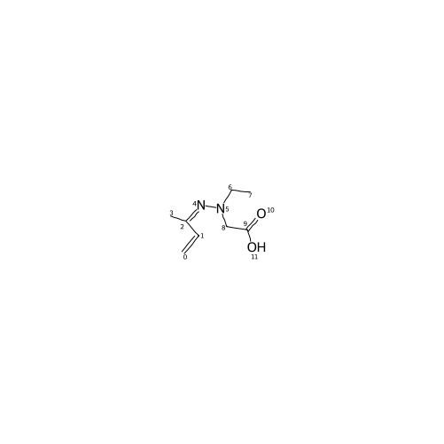 C=C/C(C)=N\N(CC)CC(=O)O